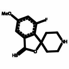 B=C1OC2(CCNCC2)c2c(F)cc(OC)cc21